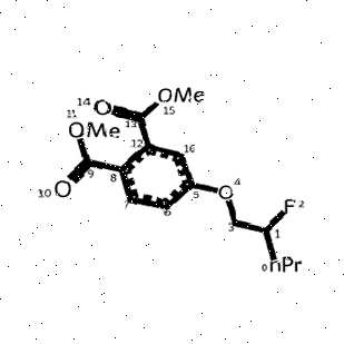 CCCC(F)COc1ccc(C(=O)OC)c(C(=O)OC)c1